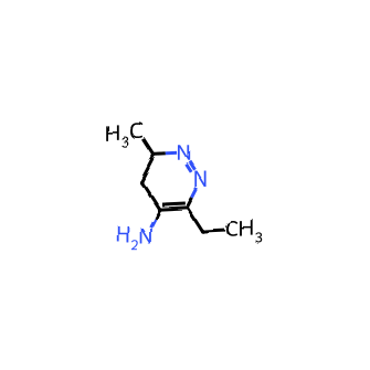 CCC1=C(N)CC(C)N=N1